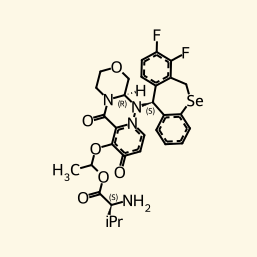 CC(OC(=O)[C@@H](N)C(C)C)Oc1c2n(ccc1=O)N([C@@H]1c3ccccc3[Se]Cc3c1ccc(F)c3F)[C@@H]1COCCN1C2=O